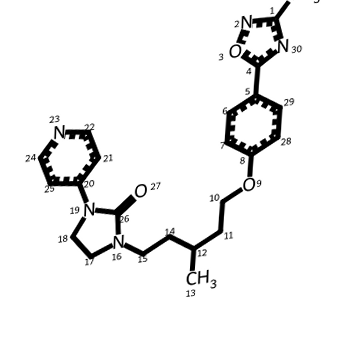 Cc1noc(-c2ccc(OCCC(C)CCN3CCN(c4ccncc4)C3=O)cc2)n1